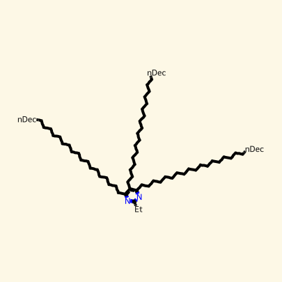 [CH2]Cc1nc(CCCCCCCCCCCCCCCCCCCCCCCCCCCC)c(CCCCCCCCCCCCCCCCCCCCCCCCCCCC)c(CCCCCCCCCCCCCCCCCCCCCCCCCCCC)n1